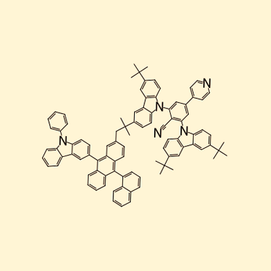 CC(C)(C)c1ccc2c(c1)c1cc(C(C)(C)C)ccc1n2-c1cc(-c2ccncc2)cc(-n2c3ccc(C(C)(C)C)cc3c3cc(C(C)(C)Cc4ccc5c(-c6cccc7ccccc67)c6ccccc6c(-c6ccc7c(c6)c6ccccc6n7-c6ccccc6)c5c4)ccc32)c1C#N